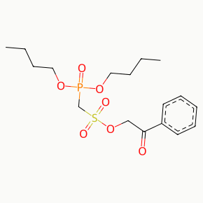 CCCCOP(=O)(CS(=O)(=O)OCC(=O)c1ccccc1)OCCCC